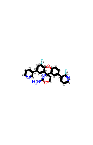 NC1=NC2(CCO1)c1cc(-c3cccnc3F)ccc1Oc1c(F)cc(-c3cccnc3)cc12